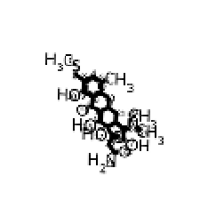 CSCc1cc(C)c2c(c1O)C(=O)C1=C(O)C(O)(C(=O)CC(N)=O)C(C(CO)N(C)C)CC1C2